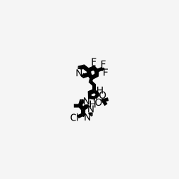 Cc1cn([C@@H]2C=C(CCc3cc(C(F)F)c(F)c4ccncc34)[C@H]3OC(C)(C)O[C@H]32)c2ncnc(Cl)c12